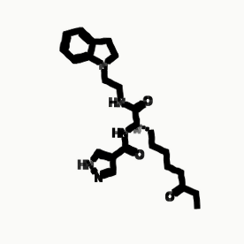 CCC(=O)CCCCC[C@H](NC(=O)c1cn[nH]c1)C(=O)NCCN1CCc2ccccc21